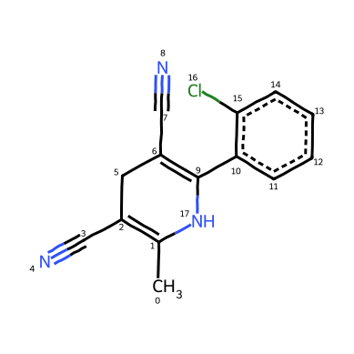 CC1=C(C#N)CC(C#N)=C(c2ccccc2Cl)N1